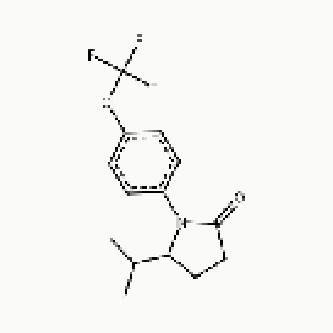 CC(C)C1CCC(=O)N1c1ccc(OC(F)(F)F)cc1